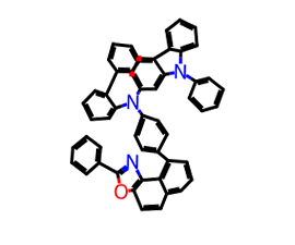 c1ccc(-c2nc3c(ccc4cccc(-c5ccc(N(c6ccc7c8ccccc8n(-c8ccccc8)c7c6)c6ccccc6-c6ccccc6)cc5)c43)o2)cc1